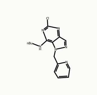 CCCCNc1nc(Cl)nc2cnn(Cc3ccccn3)c12